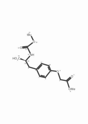 COC(=O)COc1ccc(C[C@H](NC(=O)OC(C)(C)C)C(=O)O)cc1